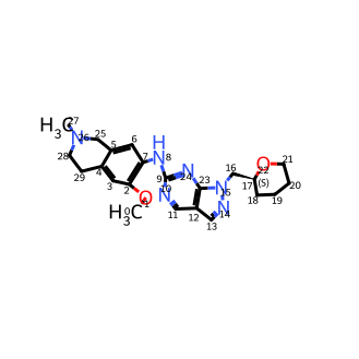 COc1cc2c(cc1Nc1ncc3cnn(C[C@@H]4CCCCO4)c3n1)CN(C)CC2